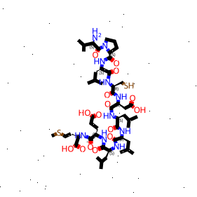 CSCC[C@H](NC(=O)[C@H](CCC(=O)O)NC(=O)[C@H](CC(C)C)NC(=O)[C@H](CC(C)C)NC(=O)[C@H](CC(C)C)NC(=O)[C@H](CC(=O)O)NC(=O)[C@H](CS)NC(=O)[C@H](CC(C)C)NC(=O)[C@@H]1CCCN1C(=O)[C@@H](N)C(C)C)C(=O)O